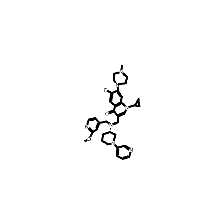 COc1cc(CN(Cc2cn(C3CC3)c3cc(N4CCN(C)CC4)c(F)cc3c2=O)[C@H]2CCCN(c3cccnc3)C2)ccn1